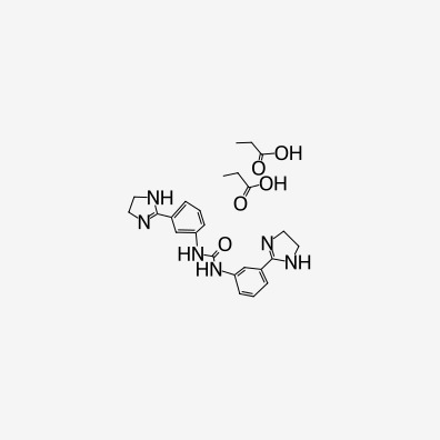 CCC(=O)O.CCC(=O)O.O=C(Nc1cccc(C2=NCCN2)c1)Nc1cccc(C2=NCCN2)c1